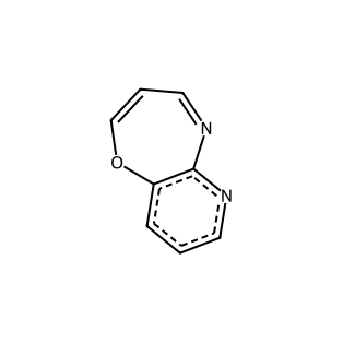 C1=COc2cccnc2N=C1